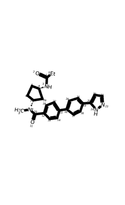 CCC(=O)N[C@H]1CC[C@@H](N(C)C(=O)c2ccc(-c3ccc(-c4ccn[nH]4)cc3)cc2)C1